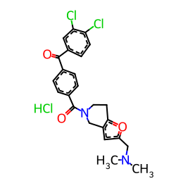 CN(C)Cc1cc2c(o1)CCN(C(=O)c1ccc(C(=O)c3ccc(Cl)c(Cl)c3)cc1)C2.Cl